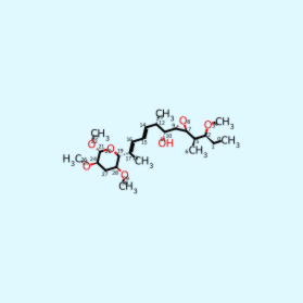 CC[C@H](OC)[C@@H](C)[C@@H]1O[C@H]1[C@H](O)[C@@H](C)/C=C/C=C(\C)[C@H]1O[C@@H](OC)[C@H](OC)C[C@@H]1OC